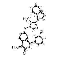 Cn1c(Cc2ccc3c(c2)c(-c2cccc(Cl)c2)cc(=O)n3C)cnc1-n1cnc2ccccc21